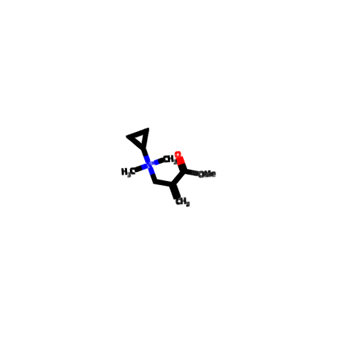 C=C(C[N+](C)(C)C1CC1)C(=O)OC